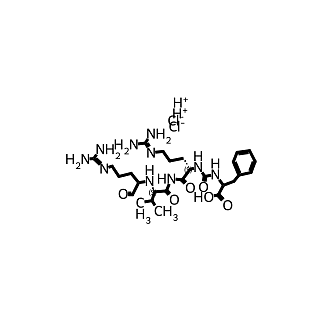 CC(C)[C@H](NC(C=O)CCCN=C(N)N)C(=O)NC(=O)[C@H](CCCN=C(N)N)NC(=O)NC(Cc1ccccc1)C(=O)O.[Cl-].[Cl-].[H+].[H+]